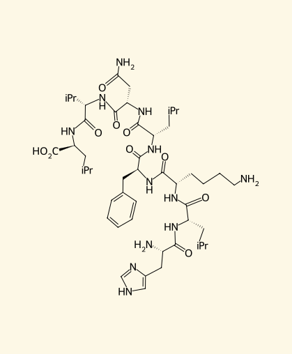 CC(C)C[C@H](NC(=O)[C@@H](NC(=O)[C@H](CC(N)=O)NC(=O)[C@H](CC(C)C)NC(=O)[C@H](Cc1ccccc1)NC(=O)[C@H](CCCCN)NC(=O)[C@H](CC(C)C)NC(=O)[C@@H](N)Cc1c[nH]cn1)C(C)C)C(=O)O